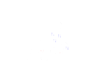 c1ccc(-c2nc(-c3ccccc3)nc(-c3ccnc4oc5cc(-c6cccc7c6oc6ccc8ccccc8c67)ccc5c34)n2)cc1